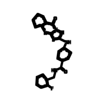 O=C(NCc1ccccc1F)c1ccc(Nc2nn3c(=O)c4ccccc4nc3s2)cc1